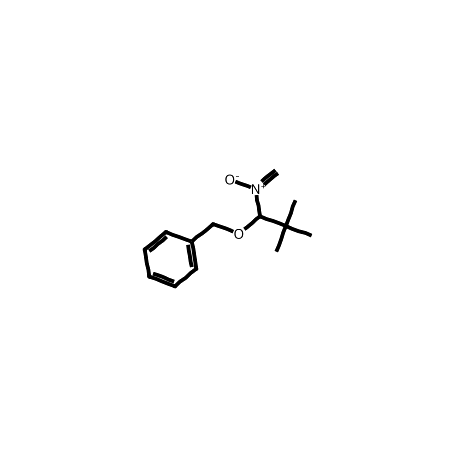 C=[N+]([O-])C(OCc1ccccc1)C(C)(C)C